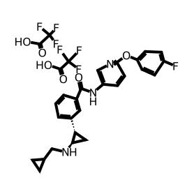 O=C(Nc1ccc(Oc2ccc(F)cc2)nc1)c1cccc([C@@H]2C[C@H]2NCC2CC2)c1.O=C(O)C(F)(F)F.O=C(O)C(F)(F)F